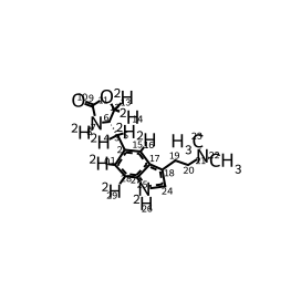 [2H]c1c(C([2H])([2H])[C@@H]2N([2H])C(=O)OC2([2H])[2H])c([2H])c2c(CCN(C)C)cn([2H])c2c1[2H]